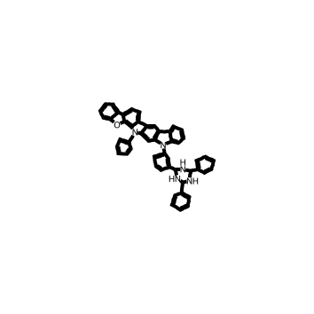 c1ccc(C2NC(c3ccccc3)NC(c3cccc(-n4c5ccccc5c5cc6c7ccc8c9ccccc9oc8c7n(-c7ccccc7)c6cc54)c3)N2)cc1